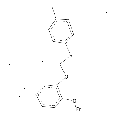 Cc1ccc(SCOc2ccccc2OC(C)C)cc1